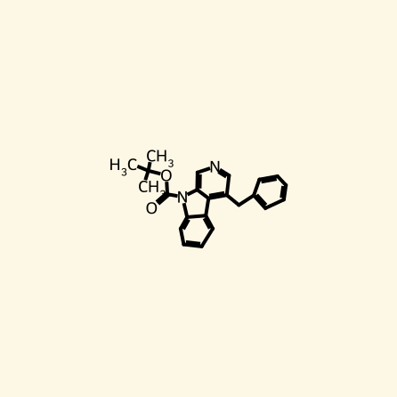 CC(C)(C)OC(=O)n1c2ccccc2c2c(Cc3ccccc3)cncc21